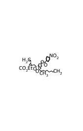 C=CCCCCC[C@H](C)C(=O)N1C[C@H](OC(=O)c2ccc([N+](=O)[O-])cc2)C[C@H]1C(=O)C[C@]1(C(=O)OCC)C[C@H]1C=C